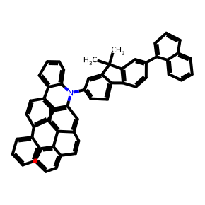 CC1(C)c2cc(-c3cccc4ccccc34)ccc2-c2ccc(N(c3ccc4c(ccc5ccccc54)c3)c3ccccc3-c3ccc(-c4ccccc4)cc3)cc21